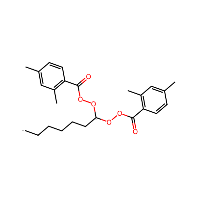 [CH2]CCCCC[C](OOC(=O)c1ccc(C)cc1C)OOC(=O)c1ccc(C)cc1C